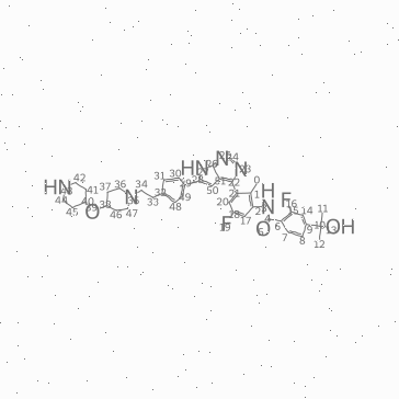 Cc1c(NC(=O)c2ccc(C(C)(C)O)cc2F)cc(F)cc1-c1ncnc2[nH]c(-c3ccc(CCN4CCC(OC5CCNCC5)CC4)cc3)cc12